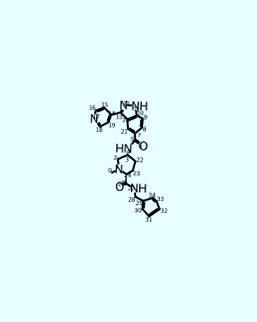 CN1C[C@H](NC(=O)c2ccc3[nH]nc(-c4ccncc4)c3c2)CC[C@H]1C(=O)NCc1ccccc1